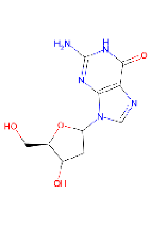 Nc1nc2c(ncn2C2CC(O)[C@@H](CO)O2)c(=O)[nH]1